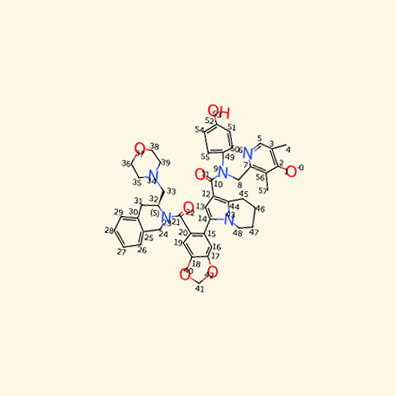 COc1c(C)cnc(CN(C(=O)c2cc(-c3cc4c(cc3C(=O)N3Cc5ccccc5C[C@H]3CN3CCOCC3)OCO4)n3c2CCCC3)c2ccc(O)cc2)c1C